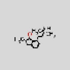 CC1Cc2cccc(/C=C/[Si](C)(C)C)c2C1=O